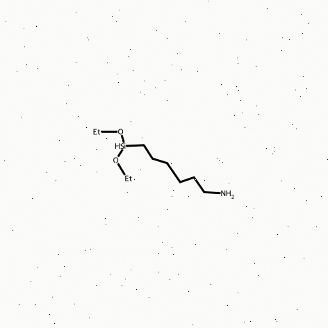 CCO[SiH](CCCCCCN)OCC